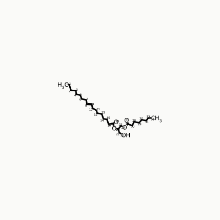 CCCCCCCCC=CCCCCCCCC(=O)OC(CO)COC(=O)CCCCCCC